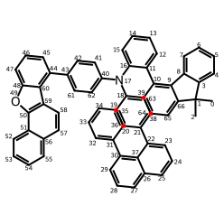 CC1(C)c2ccccc2-c2c(-c3ccccc3N(c3ccc(-c4cccc5cccc(-c6ccccc6)c45)cc3)c3ccc(-c4cccc5oc6c7ccccc7ccc6c45)cc3)cccc21